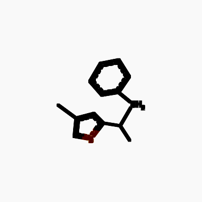 Cc1csc(C(C)[SiH2]c2ccccc2)c1